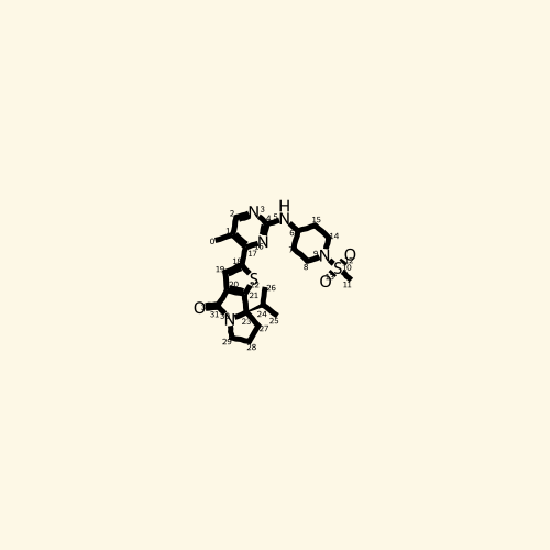 Cc1cnc(NC2CCN(S(C)(=O)=O)CC2)nc1-c1cc2c(s1)[C@]1(C(C)C)CCCN1C2=O